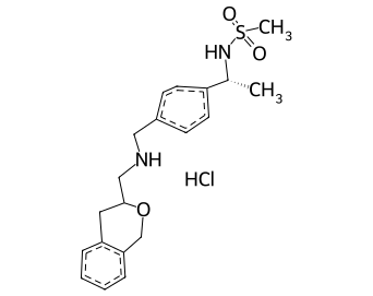 C[C@@H](NS(C)(=O)=O)c1ccc(CNCC2Cc3ccccc3CO2)cc1.Cl